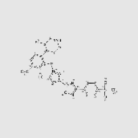 CCC1CNCCN1c1ccc(C=O)cc1Cn1nc(-c2nc(-c3ccc(S(=O)(=O)C(F)(F)F)cc3)no2)cc1C